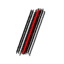 [SiH3][SiH2][SiH2][SiH2][SiH2][SiH2][SiH2][SiH2][SiH2][SiH2][SiH2][SiH2][SiH2][SiH2][SiH2][SiH2][SiH2][SiH2][SiH2][SiH2][SiH2][SiH2][SiH2][SiH2][SiH2][SiH2][SiH2][SiH2][SiH2][SiH2][SiH2][SiH2][SiH2][SiH2][SiH2][SiH2][SiH2][SiH2][SiH2][SiH2][SiH2][SiH2][SiH2][SiH2][SiH2][SiH2][SiH2][SiH2][SiH2][SiH2][SiH2][SiH2][SiH2][SiH2][SiH2][SiH2][SiH2][SiH2][SiH2][SiH2][SiH2][SiH2][SiH2][SiH2][SiH2][SiH2][SiH2][SiH2][SiH2][SiH2][SiH2][SiH2][SiH2][SiH2][SiH2][SiH2][SiH2][SiH2][SiH2][SiH2][SiH2][SiH2][SiH2][SiH2][SiH2][SiH2][SiH2][SiH2][SiH2][SiH2][SiH2][SiH2][SiH2][SiH3]